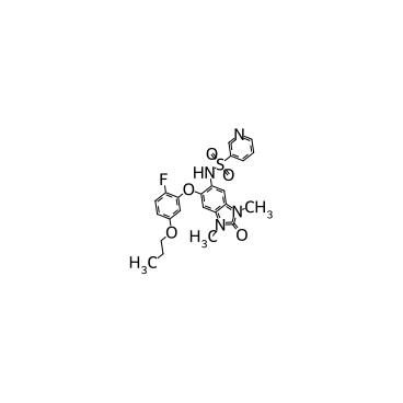 CCCOc1ccc(F)c(Oc2cc3c(cc2NS(=O)(=O)c2cccnc2)n(C)c(=O)n3C)c1